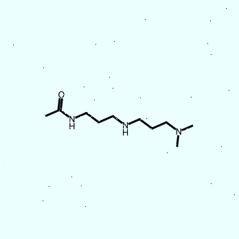 CC(=O)NCCCNCCCN(C)C